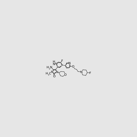 Cn1c(N)c(-c2cc(-c3ccc(OCCCN4CCC(F)CC4)nc3)c(F)cc2N)n(C2CCOCC2)c1=O